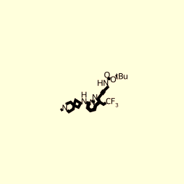 CN1CCC2(CC1)CC(Nc1cccc3c(CC(F)(F)F)c(C#CCNC(=O)OC(C)(C)C)nn13)C2